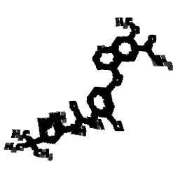 COc1cc2nccc(Oc3ccc(NC(=O)Nc4cc(C(C)(C)C)n[nH]4)c(Cl)c3)c2cc1C(N)=O